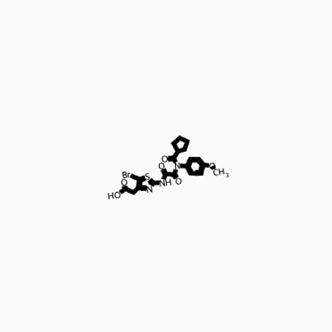 COc1ccc(N(C(=O)C(=O)Nc2nc(CC(=O)O)c(Br)s2)C(=O)C2CCCC2)cc1